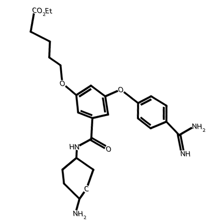 CCOC(=O)CCCCOc1cc(Oc2ccc(C(=N)N)cc2)cc(C(=O)NC2CCC(N)CC2)c1